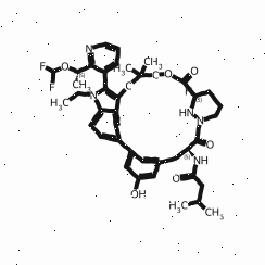 CCn1c(-c2cccnc2[C@H](C)OC(F)F)c2c3cc(ccc31)-c1cc(O)cc(c1)C[C@H](NC(=O)CC(C)C)C(=O)N1CCC[C@H](N1)C(=O)OCC(C)(C)C2